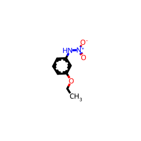 CCOc1cccc(N[N+](=O)[O-])c1